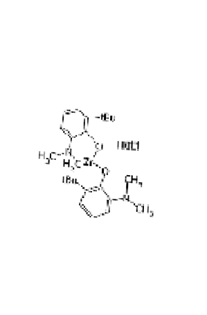 CN(C)c1cccc(C(C)(C)C)c1[O][Zr][O]c1c(N(C)C)cccc1C(C)(C)C.Cl.Cl